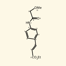 CCOC(=O)C=Cc1ccc(NC(=O)COC)cc1